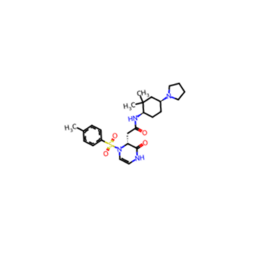 Cc1ccc(S(=O)(=O)N2C=CNC(=O)[C@H]2CC(=O)N[C@@H]2CC[C@H](N3CCCC3)CC2(C)C)cc1